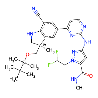 CNC(=O)c1cc(Nc2nccc(-c3cc(C#N)c4c(c3)[C@@](C)(CO[Si](C)(C)C(C)(C)C)CN4)n2)nn1CC(F)F